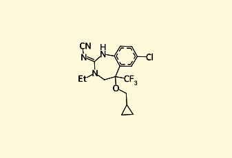 CCN1CC(OCC2CC2)(C(F)(F)F)c2cc(Cl)ccc2N/C1=N\C#N